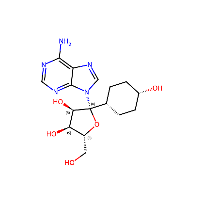 Nc1ncnc2c1ncn2[C@]1([C@H]2CC[C@@H](O)CC2)O[C@H](CO)[C@@H](O)[C@H]1O